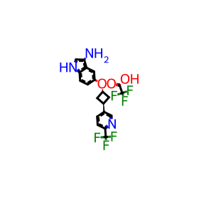 Nc1c[nH]c2ccc(O[C@H]3C[C@H](c4ccc(C(F)(F)F)nc4)C3)cc12.O=C(O)C(F)(F)F